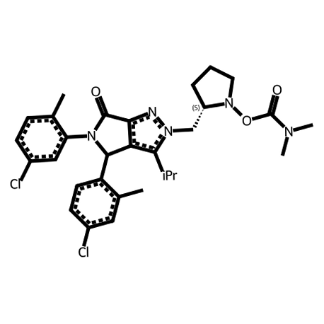 Cc1cc(Cl)ccc1C1c2c(nn(C[C@@H]3CCCN3OC(=O)N(C)C)c2C(C)C)C(=O)N1c1cc(Cl)ccc1C